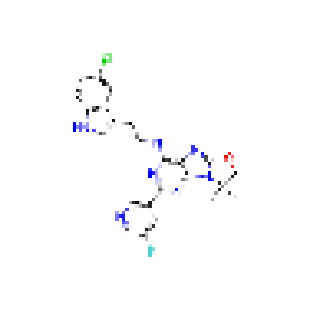 CC1(C)COc2nc3c(NCCc4c[nH]c5ccc(Cl)cc45)nc(-c4cncc(F)c4)nc3n21